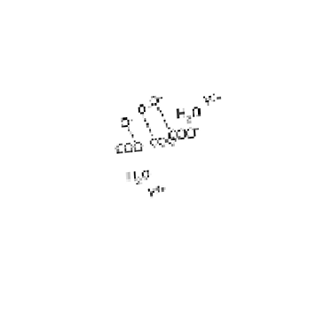 O.O.O=C([O-])[O-].O=C([O-])[O-].O=C([O-])[O-].[Y+3].[Y+3]